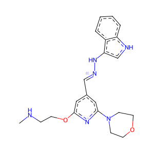 CNCCOc1cc(/C=N/Nc2c[nH]c3ccccc23)cc(N2CCOCC2)n1